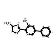 O=C(O)C1CSC(c2ncc(-c3ccccc3)cc2O)=N1